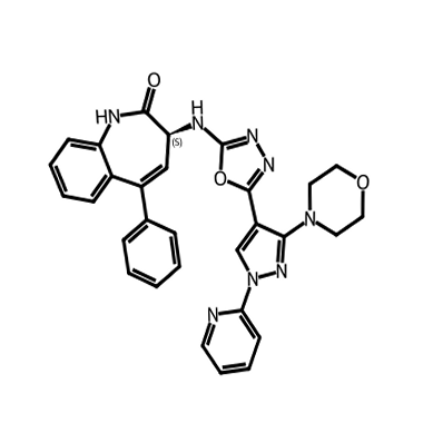 O=C1Nc2ccccc2C(c2ccccc2)=C[C@@H]1Nc1nnc(-c2cn(-c3ccccn3)nc2N2CCOCC2)o1